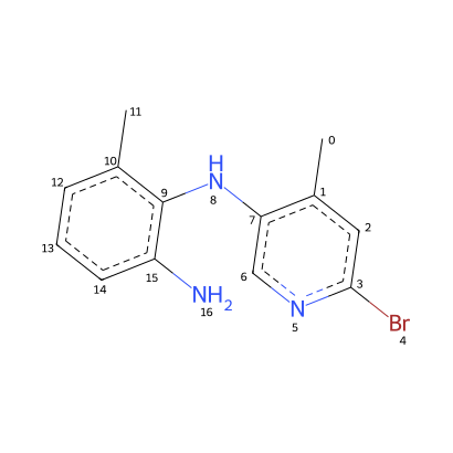 Cc1cc(Br)ncc1Nc1c(C)cccc1N